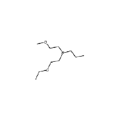 CCCN(CCOC)CCOCC